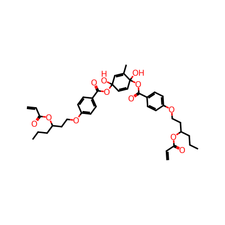 C=CC(=O)OC(CCC)CCOc1ccc(C(=O)OC2(O)C=CC(O)(OC(=O)c3ccc(OCCC(CCC)OC(=O)C=C)cc3)C(C)=C2)cc1